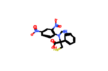 NCN(c1ccc([N+](=O)[O-])cc1[N+](=O)[O-])C(CS)(C(=O)O)c1ccccc1